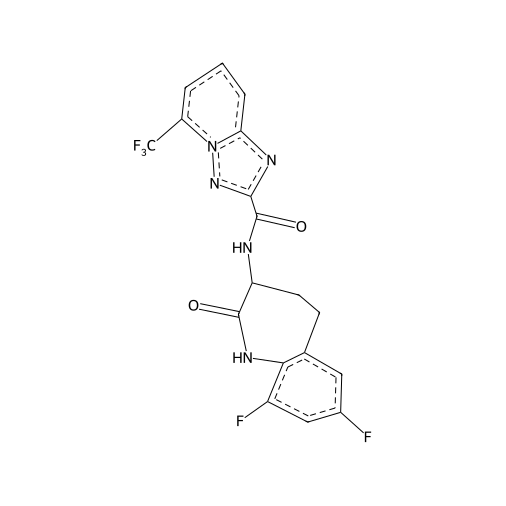 O=C(NC1CCc2cc(F)cc(F)c2NC1=O)c1nc2cccc(C(F)(F)F)n2n1